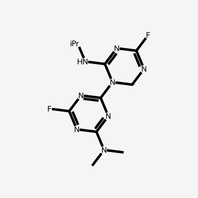 CC(C)NC1=NC(F)=N[CH]N1c1nc(F)nc(N(C)C)n1